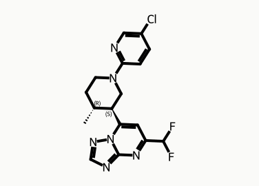 C[C@@H]1CCN(c2ccc(Cl)cn2)C[C@H]1c1cc(C(F)F)nc2ncnn12